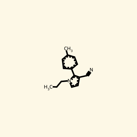 CCCn1ccc(C#N)c1-c1ccc(C)cc1